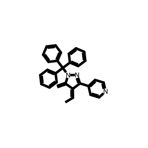 C=c1/c(=C\C)c(-c2ccncc2)nn1C(c1ccccc1)(c1ccccc1)c1ccccc1